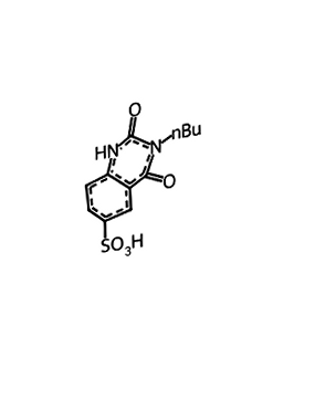 CCCCn1c(=O)[nH]c2ccc(S(=O)(=O)O)cc2c1=O